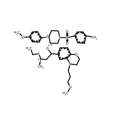 CCS[C@H](C)CC(O[C@H]1CN(S(=O)(=O)c2ccc(C)cc2)CC[C@@H]1c1ccc(OC)cc1)c1ccc2c(c1)N(CCCOC)CCO2